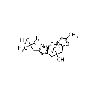 Cc1cnc(CC(C)(C)Cc2cc(CC(C)(C)C)nn2C)o1